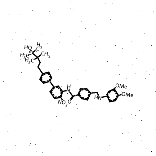 COc1ccc(NCc2ccc(C(=O)Nc3cc(-c4ccc(CCC(C)(C)[Si](C)(C)O)cc4)ccc3[N+](=O)[O-])cc2)cc1OC